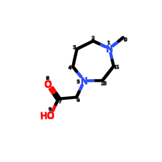 CN1CCCN(CC(=O)O)CC1